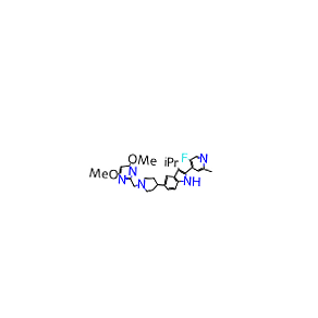 COc1cc(OC)nc(CN2CCC(c3ccc4[nH]c(-c5cc(C)ncc5F)c(C(C)C)c4c3)CC2)n1